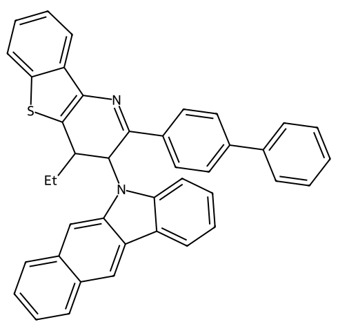 CCC1c2sc3ccccc3c2N=C(c2ccc(-c3ccccc3)cc2)C1n1c2ccccc2c2cc3ccccc3cc21